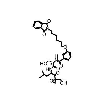 CC(C)CC(NC(=O)[C@H](CO)NC(=O)c1cccc(OCCCCCCN2C(=O)c3ccccc3C2=O)c1)C(=O)C1(CO)CO1